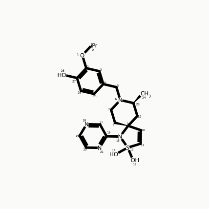 CC(C)Oc1cc(CN2CC[C@]3(C=CS(O)(O)N3c3cnccn3)C[C@@H]2C)ccc1O